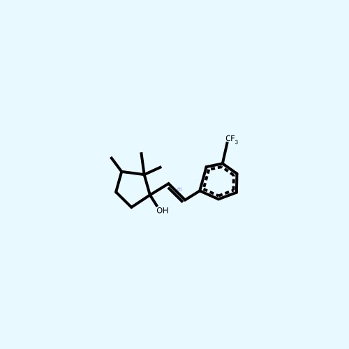 CC1CCC(O)(/C=C/c2cccc(C(F)(F)F)c2)C1(C)C